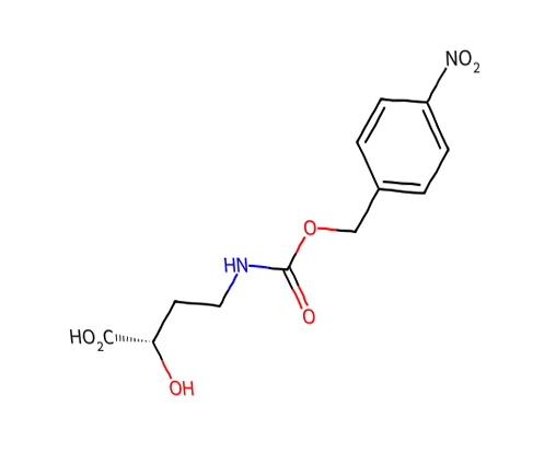 O=C(NCC[C@H](O)C(=O)O)OCc1ccc([N+](=O)[O-])cc1